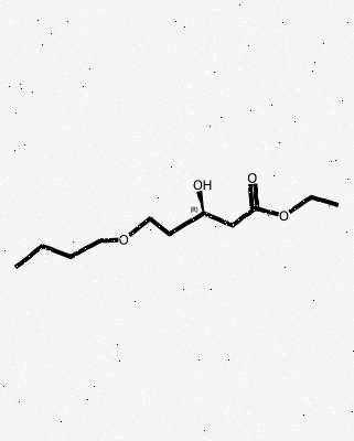 CCCCOCC[C@@H](O)CC(=O)OCC